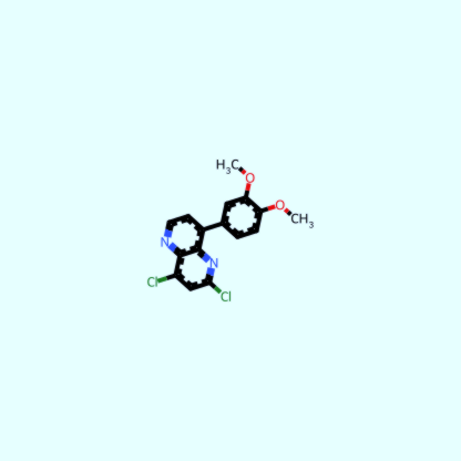 COc1ccc(-c2ccnc3c(Cl)cc(Cl)nc23)cc1OC